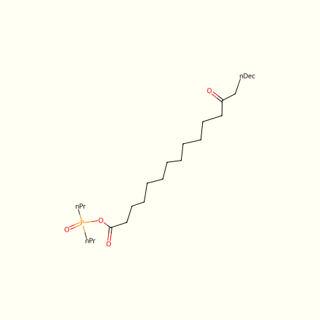 CCCCCCCCCCCC(=O)CCCCCCCCCCCC(=O)OP(=O)(CCC)CCC